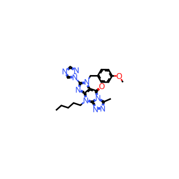 CCCCCn1c2nc(-n3cncn3)n(Cc3ccc(OC)cc3)c2c(=O)n2c(C)nnc12